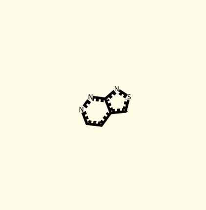 [c]1snc2nnccc12